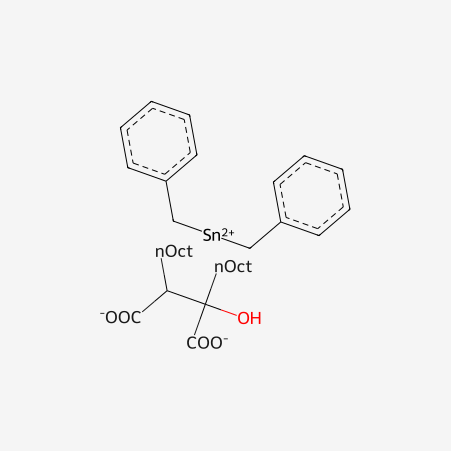 CCCCCCCCC(C(=O)[O-])C(O)(CCCCCCCC)C(=O)[O-].c1ccc([CH2][Sn+2][CH2]c2ccccc2)cc1